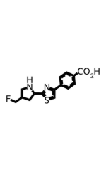 O=C(O)c1ccc(-c2csc(C3CC(CF)CN3)n2)cc1